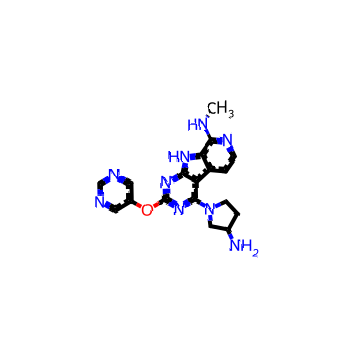 CNc1nccc2c1[nH]c1nc(Oc3cncnc3)nc(N3CCC(N)C3)c12